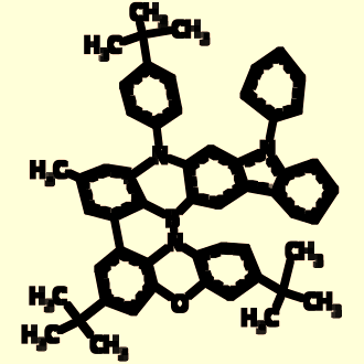 Cc1cc2c3c(c1)N(c1ccc(C(C)(C)C)cc1)c1cc4c(cc1B3N1c3ccc(C(C)(C)C)cc3Oc3cc(C(C)(C)C)cc-2c31)c1ccccc1n4-c1ccccc1